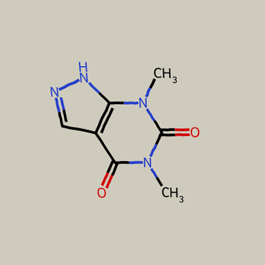 Cn1c(=O)c2cn[nH]c2n(C)c1=O